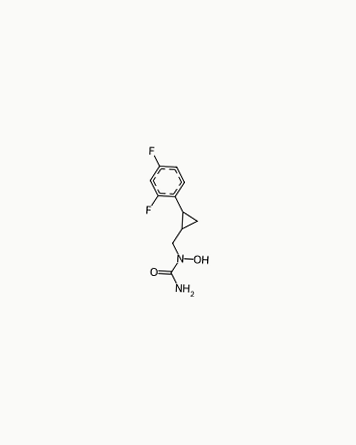 NC(=O)N(O)CC1CC1c1ccc(F)cc1F